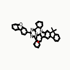 CC1(C)c2ccccc2-c2cc3c4ccccc4n(-c4ccccc4-c4nc(-c5ccccc5)nc(-c5ccc6c(c5)oc5ccccc56)n4)c3cc21